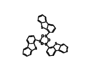 c1ccc2c(c1)sc1c(B3OB(c4cccc5c4sc4ccccc45)OB(c4cccc5c4sc4ccccc45)O3)cccc12